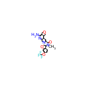 CN(C(=O)c1cc2c3c(c(N)nc2cn1)COC3)[C@H]1COc2cc(OC(F)(F)F)ccc21